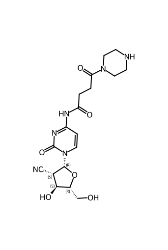 N#C[C@H]1[C@H](O)[C@@H](CO)O[C@H]1n1ccc(NC(=O)CCC(=O)N2CCNCC2)nc1=O